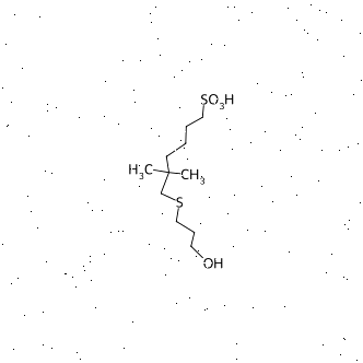 CC(C)(CCCCS(=O)(=O)O)CSCCCO